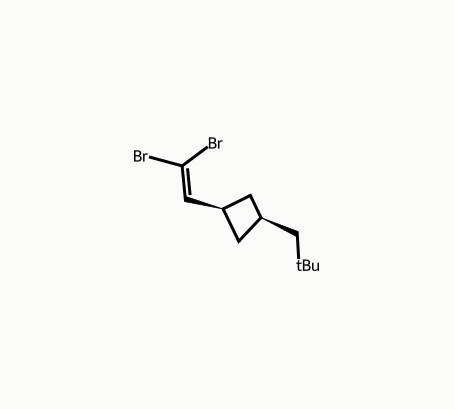 CC(C)(C)C[C@H]1C[C@@H](C=C(Br)Br)C1